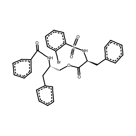 O=C(N[C@H](COC(=O)[C@H](Cc1ccccc1)NS(=O)(=O)c1ccccc1Br)Cc1ccccc1)c1ccccc1